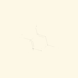 Bc1cc(F)cc(C=O)c1O